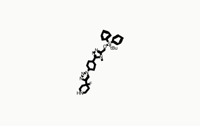 Cn1c(CO[Si](c2ccccc2)(c2ccccc2)C(C)(C)C)nnc1C1CCC(n2cc(C3(F)CCNCC3)nn2)CC1